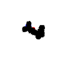 c1ccc(-c2nc(-c3ccccc3)nc(-c3ccc4c(c3)oc3cc(-c5ccc(C6(c7ccc8c(c7)sc7ccccc78)c7ccccc7-c7ccccc76)cc5)ccc34)n2)cc1